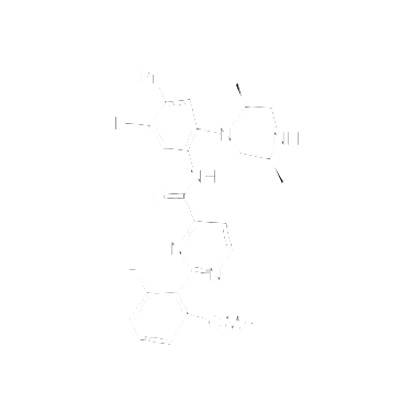 COc1cccc(F)c1-c1nccc(C(=O)Nc2cc(F)c(Br)cc2N2C[C@H](C)NC[C@@H]2C)n1